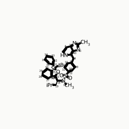 Cc1nc2cc[nH]c(Cc3ccc(S(=O)(=O)N(C)[C@@H](CC(C)C)C(=O)O[Si](c4ccccc4)(c4ccccc4)C(C)(C)C)cc3)c-2n1